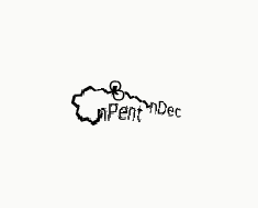 CCCCC/C=C\C/C=C\C/C=C\C/C=C\CCCC(=O)OCCCCCCCCCCCCCCCC